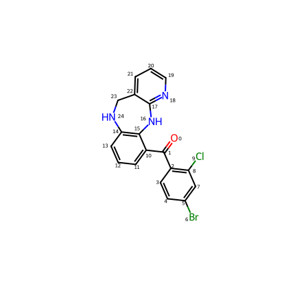 O=C(c1ccc(Br)cc1Cl)c1cccc2c1Nc1ncccc1CN2